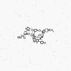 Cc1c2ccc(c1Cl)O[C@H](CN1CCN(C)CC1)COc1ccc(OCc3ccnc(C4=CCN(C(=O)OC(C)(C)C)CC4)n3)c(c1)C[C@H](C(=O)O)Oc1ncnc3sc(-c4ccc(F)cc4)c-2c13